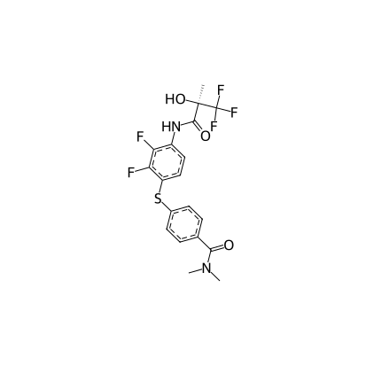 CN(C)C(=O)c1ccc(Sc2ccc(NC(=O)[C@@](C)(O)C(F)(F)F)c(F)c2F)cc1